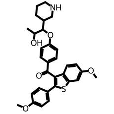 COc1ccc(-c2sc3cc(OC)ccc3c2C(=O)c2ccc(OC(C(C)O)C3CCCNC3)cc2)cc1